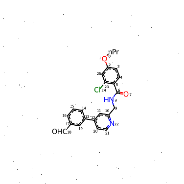 CCCOc1ccc(C(=O)NCc2cc(-c3cccc(C=O)c3)ccn2)c(Cl)c1